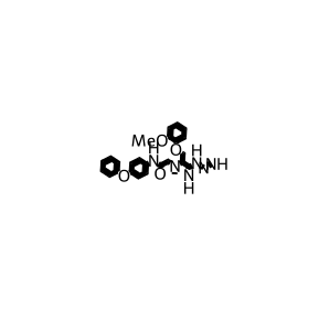 COc1ccccc1OCC(C(=N)NN=N)N(C)CC(=O)Nc1ccc(Oc2ccccc2)cc1